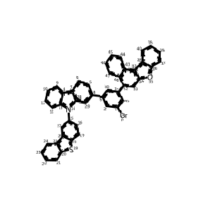 Brc1cc(-c2ccc3c4ccccc4n(-c4ccc5sc6ccccc6c5c4)c3c2)cc(-c2cc3oc4ccccc4c3c3ccccc23)c1